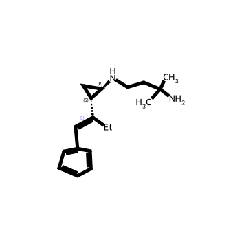 CC/C(=C\c1ccccc1)[C@@H]1C[C@H]1NCCC(C)(C)N